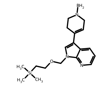 BN1CC=C(c2cn(COCC[Si](C)(C)C)c3ncccc23)CC1